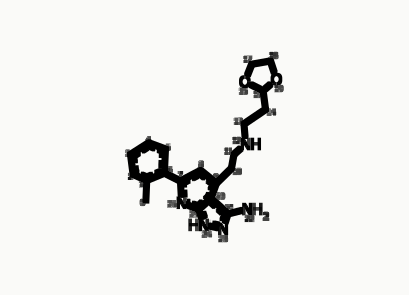 Cc1ccccc1-c1cc(CCNCCC2OCCO2)c2c(N)n[nH]c2n1